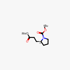 COC(=O)CC[C@@H]1CCCN1C(=O)OC(C)(C)C